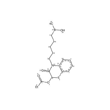 CCC(=O)OC1Sc2ccccc2N(CCCCCB(O)O)C1=O